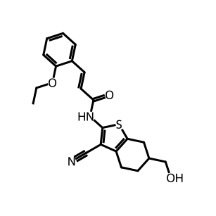 CCOc1ccccc1C=CC(=O)Nc1sc2c(c1C#N)CCC(CO)C2